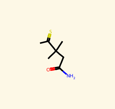 CC(=S)C(C)(C)CC(N)=O